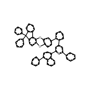 c1ccc(-c2cc(-c3ccccc3-c3ccc4c(c3)Oc3c(ccc5c3-c3ccccc3C5(c3ccccc3)c3ccccc3)O4)cc(-c3ccc(-c4ccccc4)c4ccccc34)n2)cc1